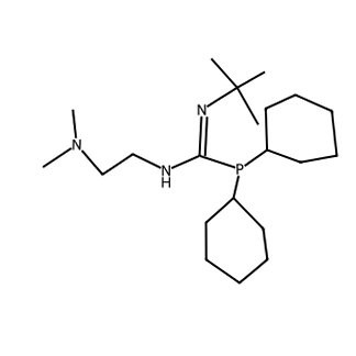 CN(C)CCN/C(=N/C(C)(C)C)P(C1CCCCC1)C1CCCCC1